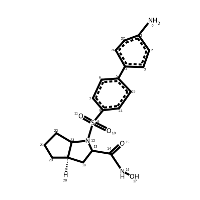 Nc1ccc(-c2ccc(S(=O)(=O)N3C(C(=O)NO)C[C@H]4CCCC43)cc2)cc1